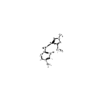 COc1nn(C)cc1Nc1ncc(C)cn1